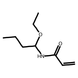 C=CC(=O)NC(CCC)OCC